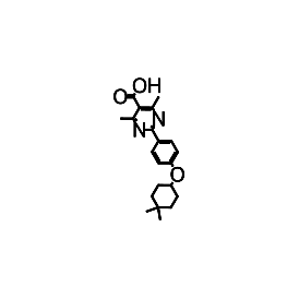 Cc1nc(-c2ccc(OC3CCC(C)(C)CC3)cc2)nc(C)c1C(=O)O